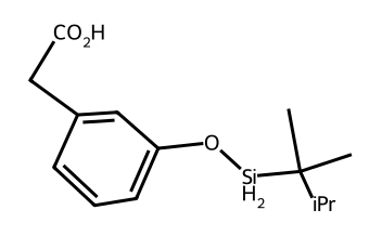 CC(C)C(C)(C)[SiH2]Oc1cccc(CC(=O)O)c1